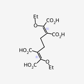 CCO/C(C(=O)O)=C(\CC/C(C(=O)O)=C(\OCC)C(=O)O)C(=O)O